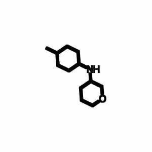 CC1CCC(NC2CCCOC2)CC1